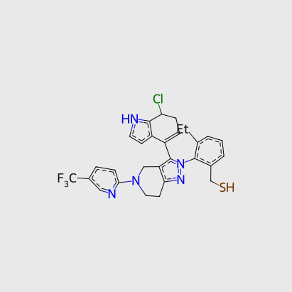 CCc1cccc(CS)c1-n1nc2c(c1C1=CCC(Cl)c3[nH]ccc31)CN(c1ccc(C(F)(F)F)cn1)CC2